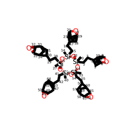 C[Si]1(CCC2CC34CC(O3)C2C4)O[Si](C)(CCC2CC34CC(O3)C2C4)O[Si](C)(CCC2CC3CC2C2OC32)O[Si](C)(CCC2CC3CC2C2OC32)O[Si](C)(CCC2CC3CC2C2OC32)O1